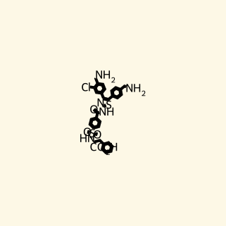 NCc1ccc(-c2sc(NC(=O)c3ccc(S(=O)(=O)N[C@@H](Cc4ccccc4)C(=O)O)cc3)nc2-c2ccc(CN)c(Cl)c2)cc1